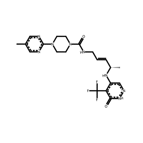 Cc1cnc(N2CCN(C(=O)NC/C=C/[C@H](C)Nc3cn[nH]c(=O)c3C(F)(F)F)CC2)nc1